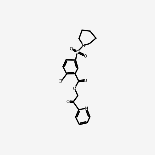 O=C(COC(=O)c1cc(S(=O)(=O)N2CCCCC2)ccc1Cl)c1ccccn1